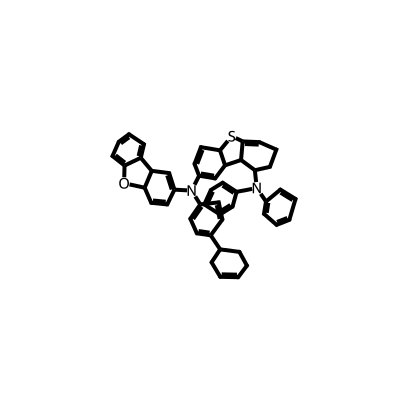 C1=CCC(c2ccc(N(C3=CC4c5ccccc5OC4C=C3)C3=CC4C(C=C3)SC3=CCCC(N(c5ccccc5)c5ccccc5)C34)cc2)CC1